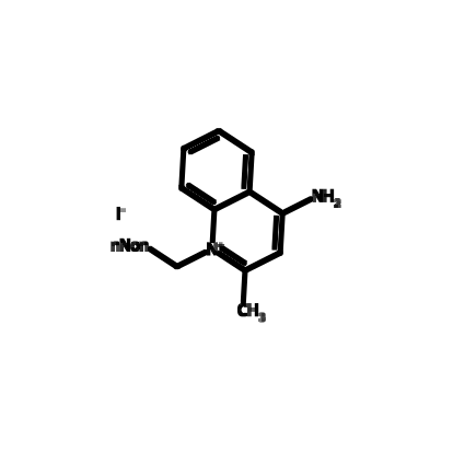 CCCCCCCCCC[n+]1c(C)cc(N)c2ccccc21.[I-]